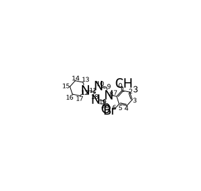 Cc1cccc(Br)c1-n1cnc(N2CCCCC2)nc1=O